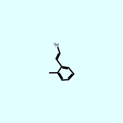 [2H]/C=C/c1ccccc1C